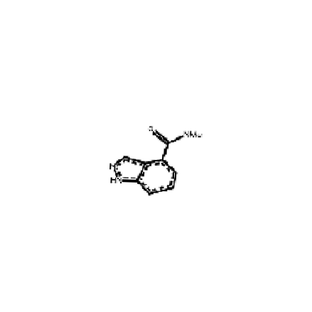 CNC(=O)c1cccc2[nH]ncc12